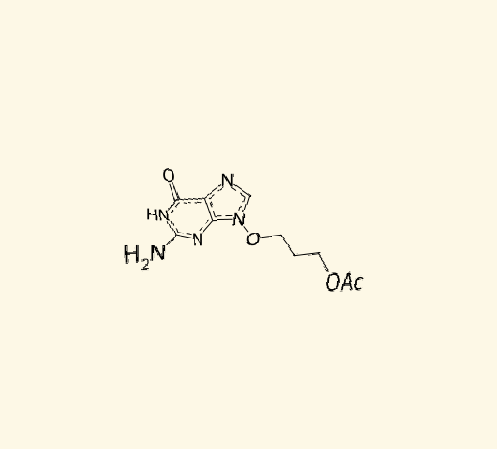 CC(=O)OCCCOn1cnc2c(=O)[nH]c(N)nc21